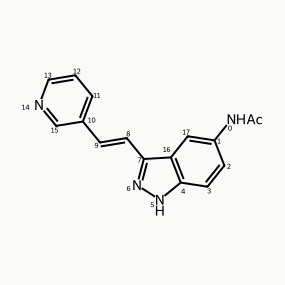 CC(=O)Nc1ccc2[nH]nc(C=Cc3cccnc3)c2c1